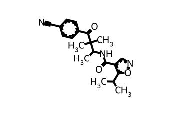 CC(C)c1oncc1C(=O)NC(C)C(C)(C)C(=O)c1ccc(C#N)cc1